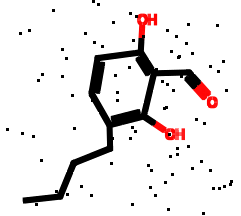 CCCCc1ccc(O)c(C=O)c1O